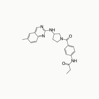 CCC(=O)Nc1ccc(C(=O)N2CCC(Nc3ncc4cc(C)ccc4n3)C2)cc1